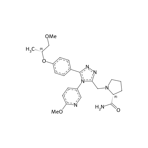 COC[C@@H](C)Oc1ccc(-c2nnc(CN3CCC[C@@H]3C(N)=O)n2-c2ccc(OC)nc2)cc1